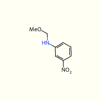 COCNc1cccc([N+](=O)[O-])c1